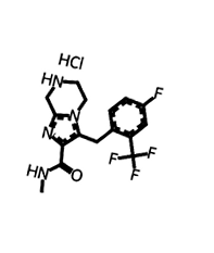 CNC(=O)c1nc2n(c1Cc1ccc(F)cc1C(F)(F)F)CCNC2.Cl